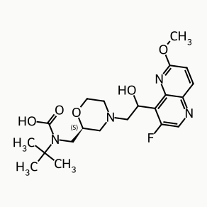 COc1ccc2ncc(F)c(C(O)CN3CCO[C@H](CN(C(=O)O)C(C)(C)C)C3)c2n1